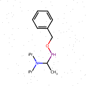 CC(C)N(C(C)C)C(C)POCc1ccccc1